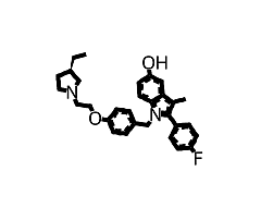 CC[C@@H]1CCN(CCOc2ccc(Cn3c(-c4ccc(F)cc4)c(C)c4cc(O)ccc43)cc2)C1